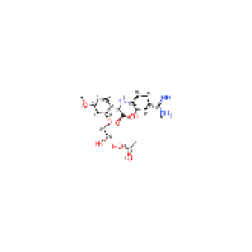 CC(=O)O.COc1ccc(C(Nc2ccc(C(=N)N)cc2)C(=O)O)c(OCCO)c1